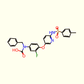 Cc1ccc(S(=O)(=O)Nc2ccc(Oc3ccc(N(Cc4ccccc4)C(=O)O)cc3F)cn2)cc1